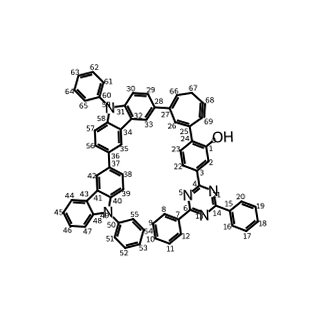 Oc1cc(-c2nc(-c3ccccc3)nc(-c3ccccc3)n2)ccc1C1=CC(c2ccc3c(c2)c2cc(-c4ccc5c(c4)c4ccccc4n5-c4ccccc4)ccc2n3-c2ccccc2)=CCC#C1